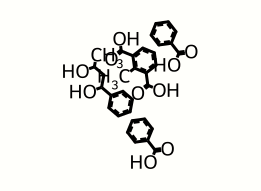 CC(O)CC(O)c1ccccc1.Cc1c(C(=O)O)cccc1C(=O)O.O=C(O)c1ccccc1.O=C(O)c1ccccc1